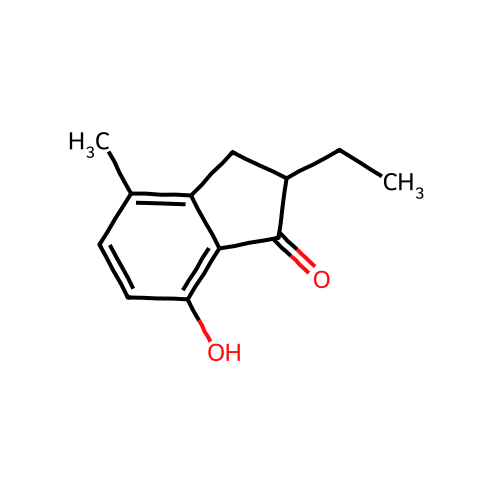 CCC1Cc2c(C)ccc(O)c2C1=O